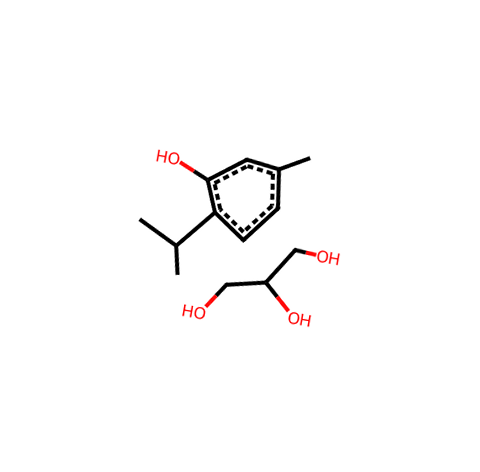 Cc1ccc(C(C)C)c(O)c1.OCC(O)CO